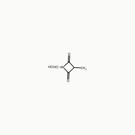 CC1C(=O)NC1=O.Cl.Cl